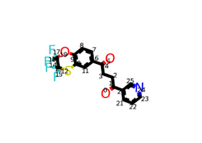 O=C(CCC(=O)c1ccc2c(c1)SC(F)(F)C(F)(F)O2)c1cccnc1